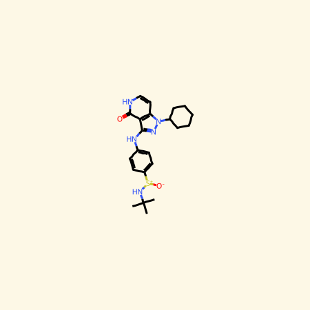 CC(C)(C)N[S+]([O-])c1ccc(Nc2nn(C3CCCCC3)c3cc[nH]c(=O)c23)cc1